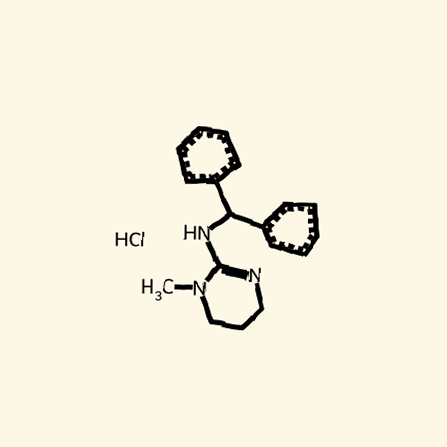 CN1CCCN=C1NC(c1ccccc1)c1ccccc1.Cl